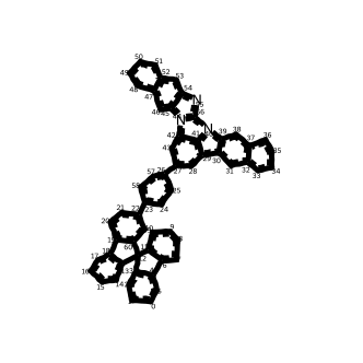 c1ccc2c(c1)-c1ccccc1C21c2ccccc2-c2ccc(-c3ccc(-c4cc5c6cc7ccccc7cc6n6c5c(c4)n4c5cc7ccccc7cc5nc46)cc3)cc21